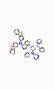 c1ccc(N(c2ccccc2)c2cc(-c3cccc4c(N(c5ccc6oc7ccccc7c6c5)c5ccc6sc7ccccc7c6c5)cccc34)cc(N(c3ccccc3)c3ccccc3)c2)cc1